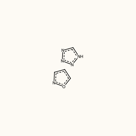 c1cnoc1.c1nnn[nH]1